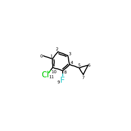 Cc1ccc(C2CC2)c(F)c1Cl